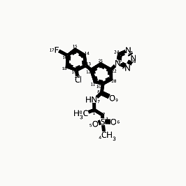 CC(CS(C)(=O)=O)NC(=O)c1cc(-c2ccc(F)cc2Cl)cc(-n2cnnn2)c1